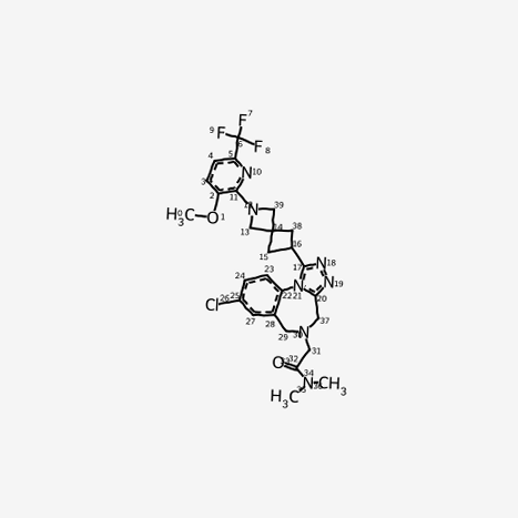 COc1ccc(C(F)(F)F)nc1N1CC2(CC(c3nnc4n3-c3ccc(Cl)cc3CN(CC(=O)N(C)C)C4)C2)C1